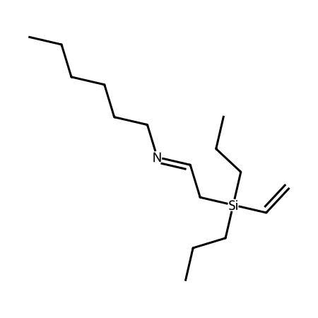 C=C[Si](CC=NCCCCCC)(CCC)CCC